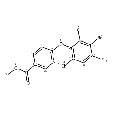 COC(=O)c1ccc(Oc2c(Cl)cc(F)c(Br)c2Cl)nc1